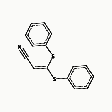 N#CC=C(Sc1ccccc1)Sc1ccccc1